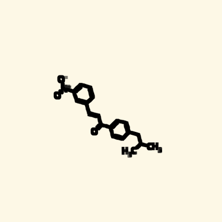 CC(C)Cc1ccc(C(=O)/C=C/c2cccc([N+](=O)[O-])c2)cc1